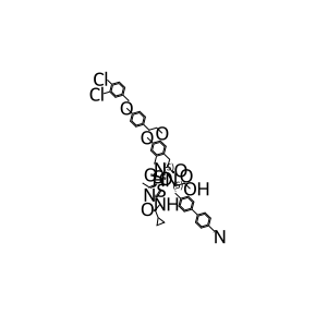 Cc1nc(NC(=O)C2CC2)sc1S(=O)(=O)N1Cc2cc3c(cc2C[C@H]1C(=O)N[C@@H](Cc1ccc(-c2ccc(C#N)cc2)cc1)C(=O)O)OCC(c1ccc(OCc2ccc(Cl)c(Cl)c2)cc1)O3